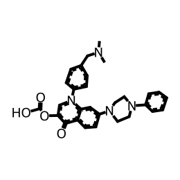 CN(C)Cc1ccc(-n2cc(OC(=O)O)c(=O)c3ccc(N4CCN(c5ccccc5)CC4)cc32)cc1